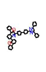 c1ccc(-c2cc(-c3ccccc3)nc(-c3ccc(-c4ccc(-c5nc6c(-c7cccc8c7oc7ccccc78)cccc6c6c5oc5ccccc56)cc4)cc3)n2)cc1